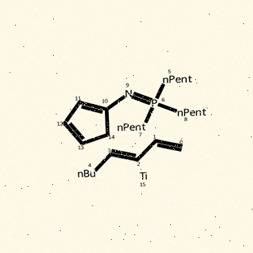 C=CC=CCCCC.CCCCCP(CCCCC)(CCCCC)=NC1=CC=CC1.[Ti]